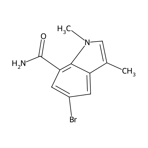 Cc1cn(C)c2c(C(N)=O)cc(Br)cc12